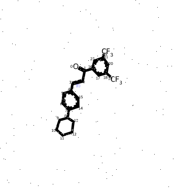 O=C(/C=C/c1ccc(C2CCCCC2)cc1)c1cc(C(F)(F)F)cc(C(F)(F)F)c1